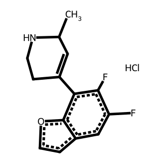 CC1C=C(c2c(F)c(F)cc3ccoc23)CCN1.Cl